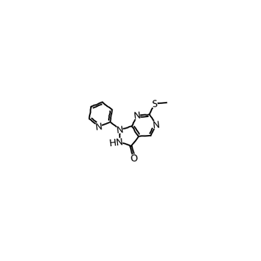 CSc1ncc2c(=O)[nH]n(-c3ccccn3)c2n1